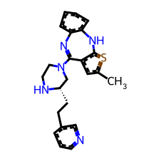 Cc1cc2c(s1)Nc1ccccc1N=C2N1CCN[C@@H](CCc2cccnc2)C1